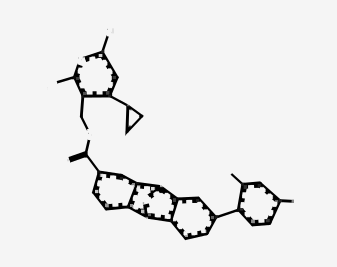 Cc1nc(N)cc(C2CC2)c1CNC(=O)c1ccc2c(c1)c1oc2c2ccc(-c3ccc(F)cc3F)cc21